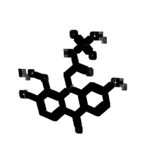 COc1c(Cl)ccc2c(=O)c3ccc(C)cc3n(CC(=O)NS(C)(=O)=O)c12